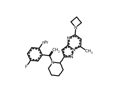 C=C(c1cc(F)ccc1CCC)N1CCCCC1c1cc2nc(N3CCC3)cc(C)n2n1